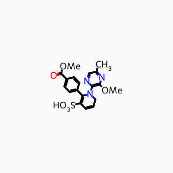 COC(=O)c1ccc(C2=C(S(=O)(=O)O)C=CCN2c2ncc(C)nc2OC)cc1